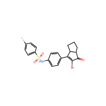 O=C1C(Br)=C(c2ccc(NS(=O)(=O)c3ccc(F)cc3)cc2)C2CCCC12